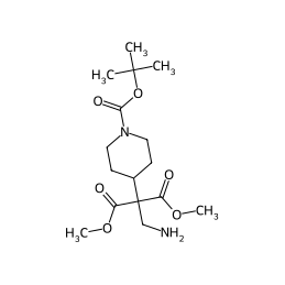 COC(=O)C(CN)(C(=O)OC)C1CCN(C(=O)OC(C)(C)C)CC1